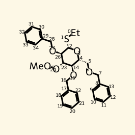 CCS[C@@H]1O[C@H](COCc2ccccc2)[C@@H](OCc2ccccc2)[C@H](OOC)[C@H]1OCc1ccccc1